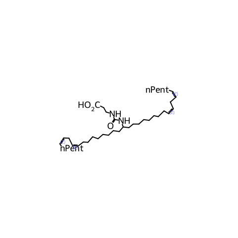 CCCCC/C=C\C/C=C\CCCCCCCCC(CCCCCCCC/C=C\C/C=C\CCCCC)NC(=O)NCCC(=O)O